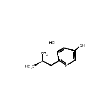 Cl.N[C@@H](Cc1ccc(O)cn1)C(=O)O